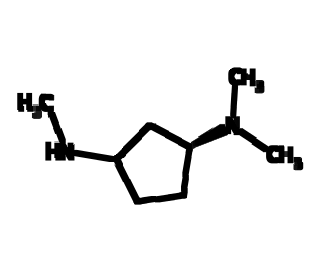 CNC1CC[C@H](N(C)C)C1